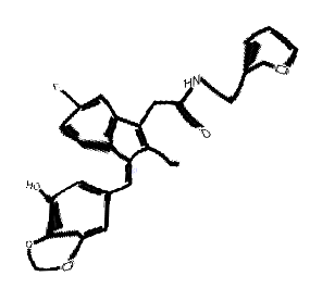 CC1=C(CC(=O)NCc2ccco2)c2cc(F)ccc2/C1=C\c1cc(O)c2c(c1)OCO2